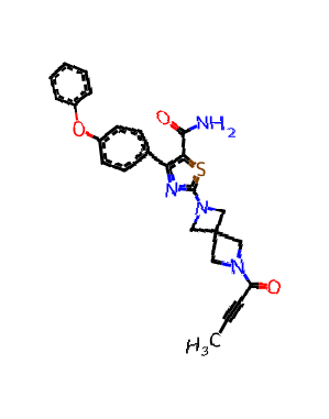 CC#CC(=O)N1CC2(C1)CN(c1nc(-c3ccc(Oc4ccccc4)cc3)c(C(N)=O)s1)C2